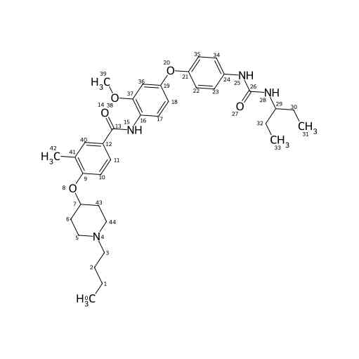 CCCCN1CCC(Oc2ccc(C(=O)Nc3ccc(Oc4ccc(NC(=O)NC(CC)CC)cc4)cc3OC)cc2C)CC1